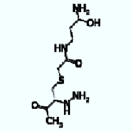 CC(=O)[C@H](CSCC(=O)NCCC(N)O)NN